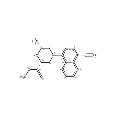 C#Cc1ccc(N2C[C@@H](C)O[C@@H](C(=O)OC)C2)c2cccnc12